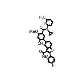 CNC(=O)c1c(-c2ccc(F)cc2)oc2ccc(-c3cc(C(=O)N(c4cccc(C)n4)C4CC4)c(OC)cc3C)cc12